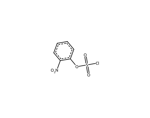 O=[N+]([O-])c1ccccc1OS(=O)(=O)Cl